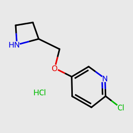 Cl.Clc1ccc(OCC2CCN2)cn1